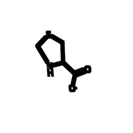 [O]C(=O)C1CSCN1